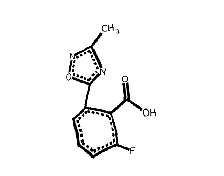 Cc1noc(-c2cccc(F)c2C(=O)O)n1